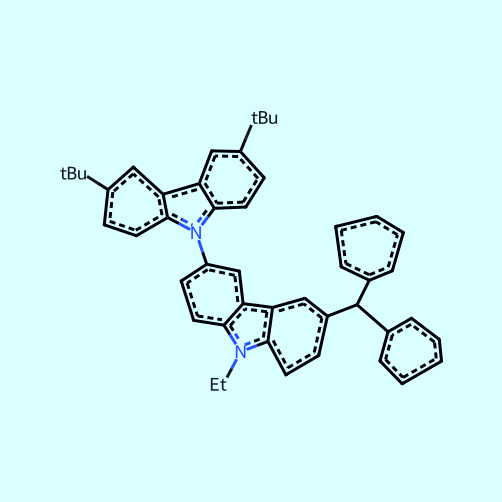 CCn1c2ccc(C(c3ccccc3)c3ccccc3)cc2c2cc(-n3c4ccc(C(C)(C)C)cc4c4cc(C(C)(C)C)ccc43)ccc21